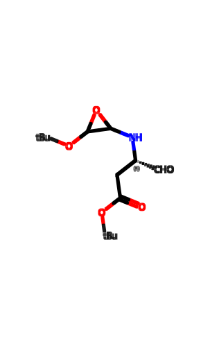 CC(C)(C)OC(=O)C[C@@H](C=O)NC1OC1OC(C)(C)C